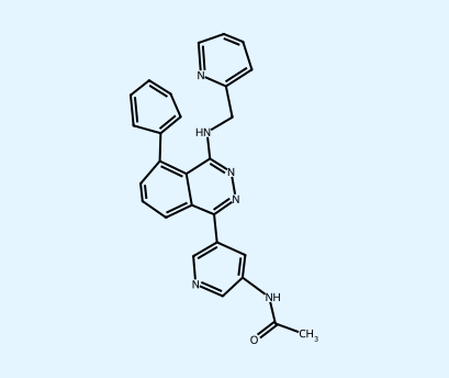 CC(=O)Nc1cncc(-c2nnc(NCc3ccccn3)c3c(-c4ccccc4)cccc23)c1